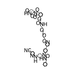 N#Cc1ccc(NC2CCC(N(C(=O)NCc3ccccc3)c3ccc(-c4ccnc(OCCOCCOCCNC(=O)COc5cccc6c5C(=O)N(C5CCC(=O)NC5=O)C6=O)c4)cc3)CC2)nc1